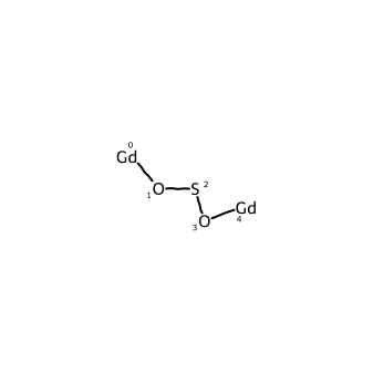 [Gd][O]S[O][Gd]